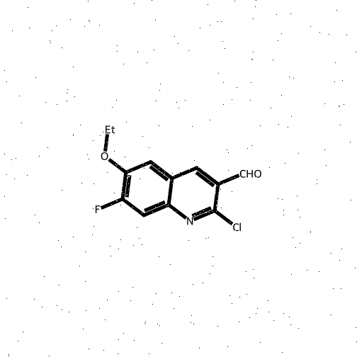 CCOc1cc2cc(C=O)c(Cl)nc2cc1F